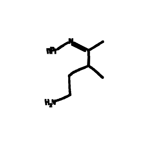 CCCN=C(C)C(C)CCN